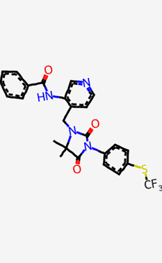 CC1(C)C(=O)N(c2ccc(SC(F)(F)F)cc2)C(=O)N1Cc1ccncc1NC(=O)c1ccccc1